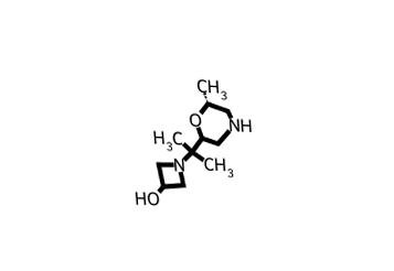 C[C@@H]1CNCC(C(C)(C)N2CC(O)C2)O1